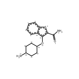 NC(=O)c1sc2ccccc2c1OC1CCC(N)CC1